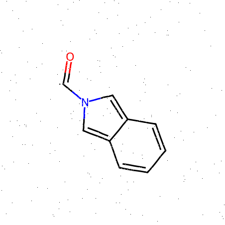 O=[C]n1cc2ccccc2c1